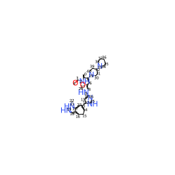 C=C(NC=O)/C(=C\C(=C\NC1=CC(C2=CCC=C(C=N)C(NC)=C2)NC=N1)OC)N1CCC(N2CCCCC2)CC1